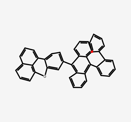 c1ccc(-c2ccccc2-c2c3ccccc3c(-c3ccc4c(c3)Oc3cccc5cccc-4c35)c3ccccc23)cc1